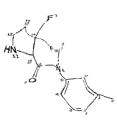 Cc1cccc(N(C)C(=O)C2NCCC2(F)F)c1